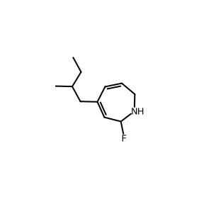 CCC(C)CC1=CC(F)NCC=C1